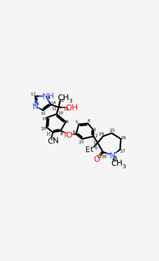 CCC1(c2cccc(Oc3cc(C(C)(O)c4cnc[nH]4)ccc3C#N)c2)CCCCN(C)C1=O